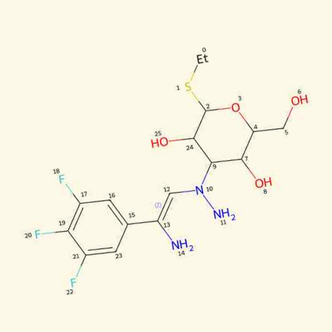 CCSC1OC(CO)C(O)C(N(N)/C=C(\N)c2cc(F)c(F)c(F)c2)C1O